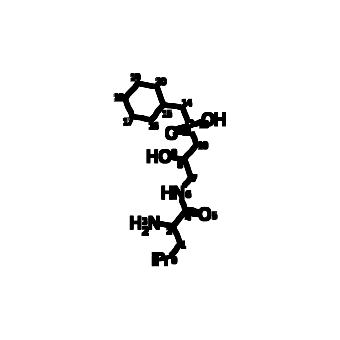 CC(C)CC(N)C(=O)NCC(O)CP(=O)(O)CC1CCCCC1